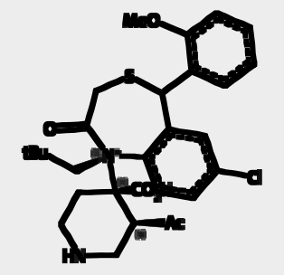 COc1ccccc1C1SCC(=O)[N@@+](CC(C)(C)C)([C@@]2(C(=O)O)CCNC[C@@H]2C(C)=O)c2ccc(Cl)cc21